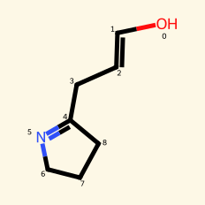 OC=CCC1=NCCC1